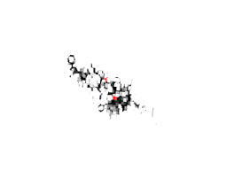 CC[C@H](C)[C@H](NC(=O)[C@@H](Cc1ccccc1)NC)C(=O)N[C@@H](CO)C(=O)N[C@H](CCC(N)=O)C(=O)N[C@@H](C(=O)N[C@H](C(=O)N[C@@H](CO)C(=O)N[C@H]1C(=O)N[C@@H](C)C(=O)NC2(CC2CCOC(=O)c2ccccc2)C(=O)N[C@@H]([C@@H](C)CC)C(=O)O[C@H]1C)[C@@H](C)CC)[C@@H](C)CC